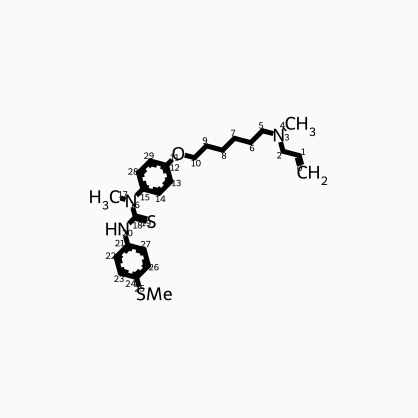 C=CCN(C)CCCCCCOc1ccc(N(C)C(=S)Nc2ccc(SC)cc2)cc1